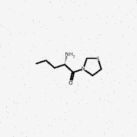 CCC[C@H](N)C(=O)N1CCSC1